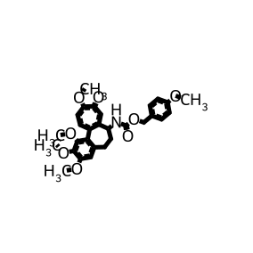 COc1ccc(COC(=O)NC2CCc3cc(OC)c(OC)c(OC)c3-c3ccc(OC)c(=O)cc32)cc1